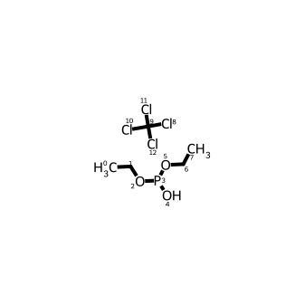 CCOP(O)OCC.ClC(Cl)(Cl)Cl